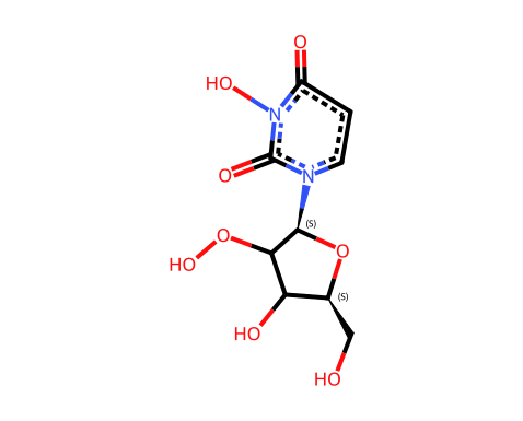 O=c1ccn([C@H]2O[C@@H](CO)C(O)C2OO)c(=O)n1O